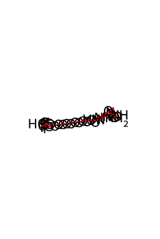 CCCN(OCCNC(=O)OC(C)C)C(=O)C1=Cc2ccc(-c3cnc(CNC(=O)CCOCCOCCOCCOCCOCCOCCOCCOCCOCCOCCC(=O)Oc4c(F)c(F)c(S(=O)(=O)O)c(F)c4F)nc3)cc2N=C(N)C1